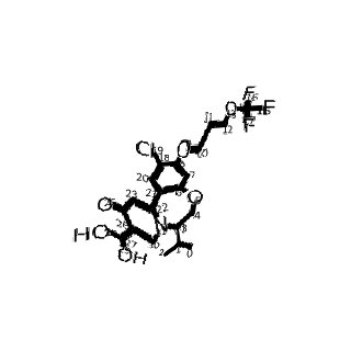 CC(C)[C@@H]1COc2cc(OCCCOC(F)(F)F)c(Cl)cc2-c2cc(=O)c(C(O)O)cn21